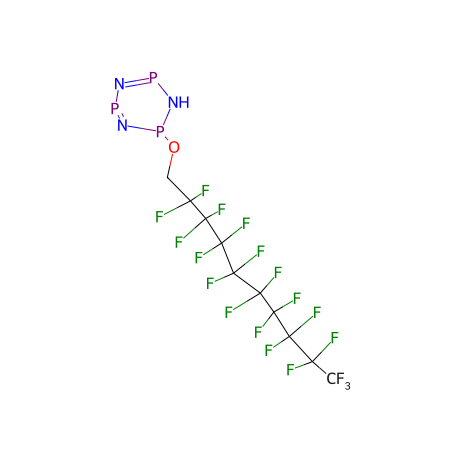 FC(F)(F)C(F)(F)C(F)(F)C(F)(F)C(F)(F)C(F)(F)C(F)(F)C(F)(F)C(F)(F)COP1N=PN=PN1